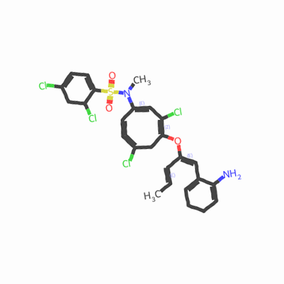 C/C=C/C(=C\C1=CCCC=C1N)O/C1=C(Cl)/C=C(/N(C)S(=O)(=O)C2=CC=C(Cl)CC2Cl)C=C=C(Cl)C1